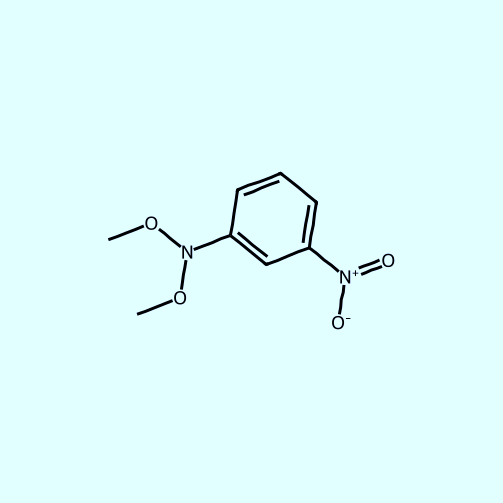 CON(OC)c1cccc([N+](=O)[O-])c1